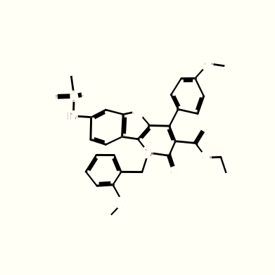 CCOC(=O)c1c(-c2ccc(OC)cc2)c2oc3cc(NS(C)(=O)=O)ccc3c2n(Cc2ccccc2OC)c1=O